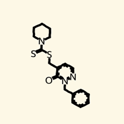 O=c1c(CSC(=S)N2CCCCC2)ccnn1Cc1ccccc1